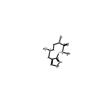 CCN(CCN(C)Cc1c[nH]nc1I)C(=O)OC(C)(C)C